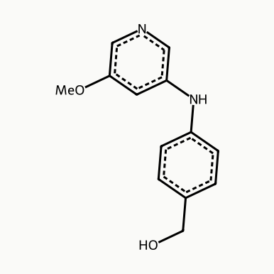 COc1cncc(Nc2ccc(CO)cc2)c1